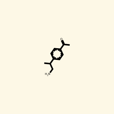 CC(=O)c1ccc(C(C)CN)cc1